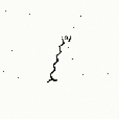 [CH2]C(=C)CCCCCCCCC(=O)O